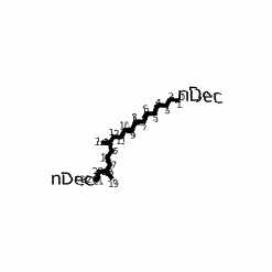 CCCCCCCCCCCCCCCCCCCCCCC(C)CCCC(C)CCCCCCCCCCCC